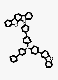 c1ccc(-c2ccc(N(c3ccc(-c4ccc(-n5c6ccccc6c6ccc7c8ccccc8oc7c65)cc4)cc3)c3ccc(-c4ccc5oc6ccccc6c5c4)cc3)cc2)cc1